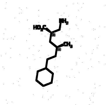 C[C@@H](CCC1CCCCC1)C[C@H](CN)C(=O)O